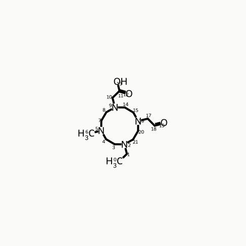 CCN1CCN(C)CCN(CC(=O)O)CCN(CC=O)CC1